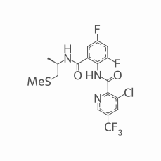 CSC[C@@H](C)NC(=O)c1cc(F)cc(F)c1NC(=O)c1ncc(C(F)(F)F)cc1Cl